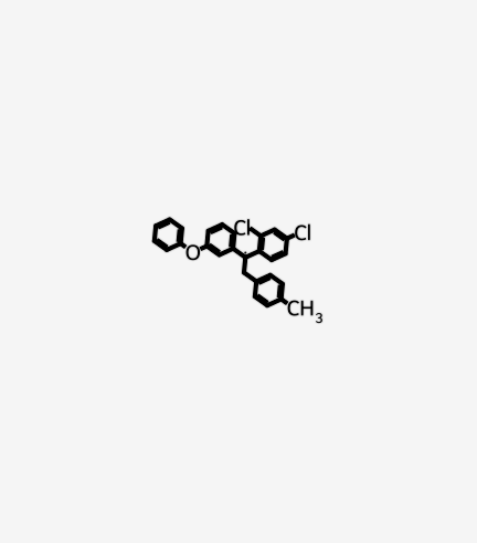 Cc1ccc(C[C](c2cccc(Oc3ccccc3)c2)c2ccc(Cl)cc2Cl)cc1